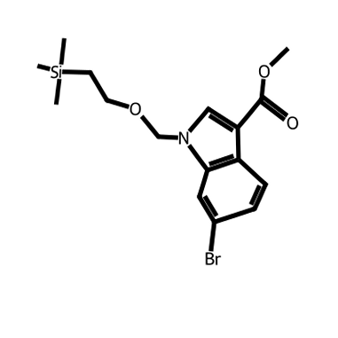 COC(=O)c1cn(COCC[Si](C)(C)C)c2cc(Br)ccc12